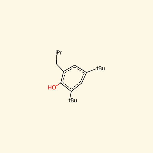 CC(C)Cc1cc(C(C)(C)C)cc(C(C)(C)C)c1O